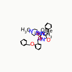 CON(C)[13C](=O)[C@H](Cc1ccccc1OCc1ccccc1)NC(=O)[C@H](Cc1ccccc1)NC(=O)N1CCN(C)CC1